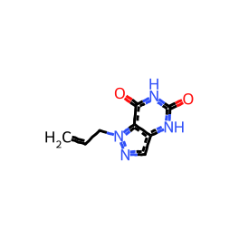 C=CCn1ncc2[nH]c(=O)[nH]c(=O)c21